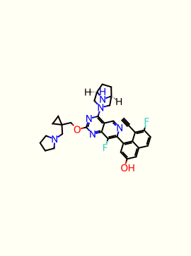 C#Cc1c(F)ccc2cc(O)cc(-c3ncc4c(N5C[C@H]6CC[C@@H](C5)N6)nc(OCC5(CN6CCCC6)CC5)nc4c3F)c12